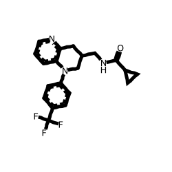 O=C(NCC1Cc2ncccc2N(c2ccc(C(F)(F)F)cc2)C1)C1CC1